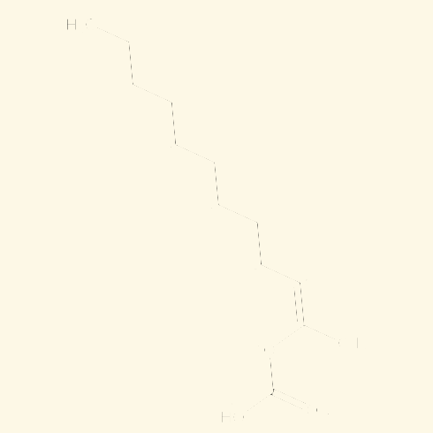 CCCCCCCCCC=C(C)OC(=O)O